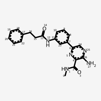 CNC(=O)c1nc(-c2cccc(NC(=O)CCc3ccccc3)c2)cnc1N